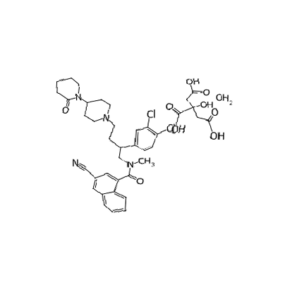 CN(CC(CCN1CCC(N2CCCCC2=O)CC1)c1ccc(Cl)c(Cl)c1)C(=O)c1cc(C#N)cc2ccccc12.O.O=C(O)CC(O)(CC(=O)O)C(=O)O